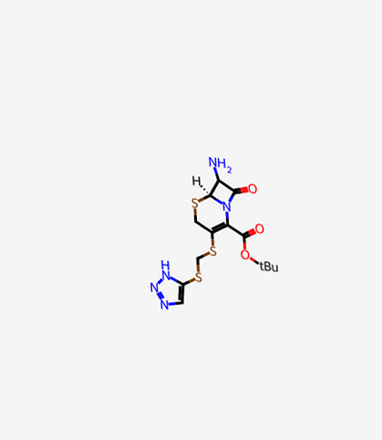 CC(C)(C)OC(=O)C1=C(SCSc2cnn[nH]2)CS[C@H]2C(N)C(=O)N12